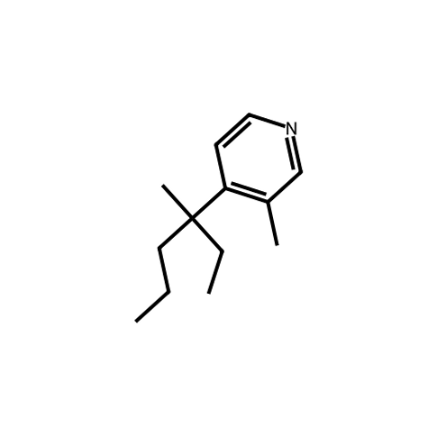 CCCC(C)(CC)c1ccncc1C